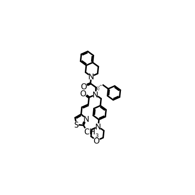 Cc1nc(C=CC(=O)N(Cc2ccc(N3CCOCC3)cc2)[C@@H](Cc2ccccc2)C(=O)N2CCc3ccccc3C2)cs1